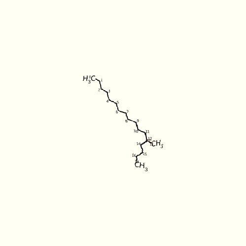 CCCCCCCCCCCC[C@@H](C)CCCC